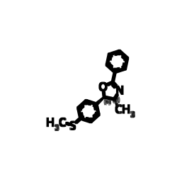 CSc1ccc([C@H]2OC(c3ccccc3)=N[C@@H]2C)cc1